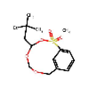 C.CCC(C)(C)CC1OCOCc2cccc(c2)S(=O)(=O)O1